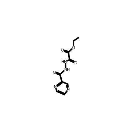 CCOC(=O)C(=O)NNC(=O)c1cnccn1